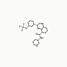 O=C(Nc1cccnc1)c1cccc2ncc(-c3cccc(OC(F)(F)F)c3)nc12